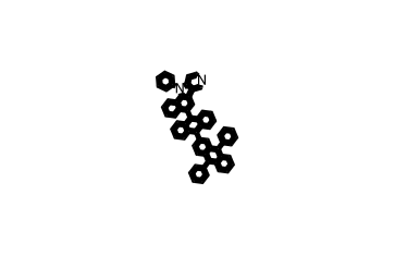 c1ccc(-c2c3ccccc3c(-c3ccccc3)c3cc(-c4c5ccccc5c(-c5cc6c7cnccc7n(-c7ccccc7)c6c6ccccc56)c5ccccc45)ccc23)cc1